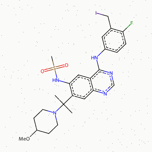 COC1CCN(C(C)(C)c2cc3ncnc(Nc4ccc(F)c(CI)c4)c3cc2NS(C)(=O)=O)CC1